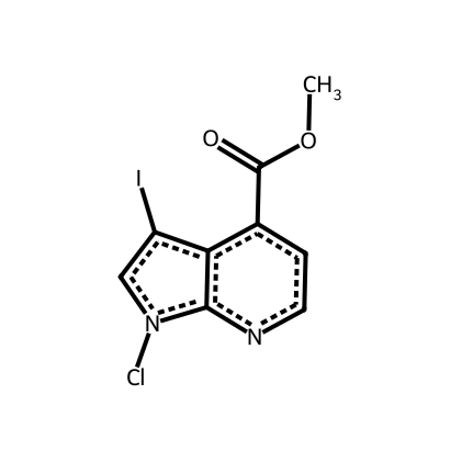 COC(=O)c1ccnc2c1c(I)cn2Cl